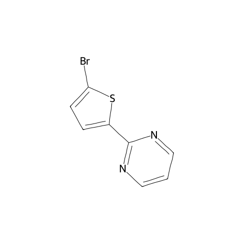 Brc1ccc(-c2ncccn2)s1